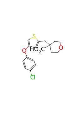 O=C(O)C1(Cc2cc(Oc3ccc(Cl)cc3)cs2)CCOCC1